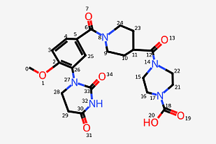 COc1ccc(C(=O)N2CCC(C(=O)N3CCN(C(=O)O)CC3)CC2)cc1N1CCC(=O)NC1=O